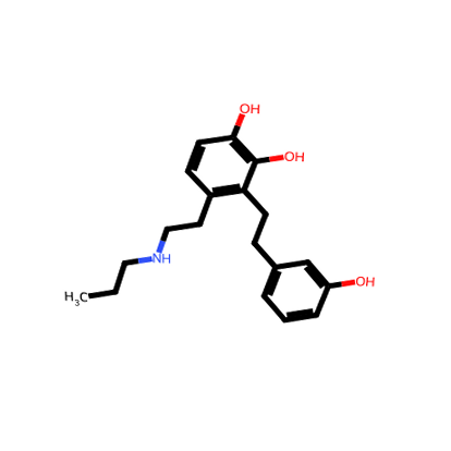 CCCNCCc1ccc(O)c(O)c1CCc1cccc(O)c1